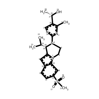 Cc1nc(N2CCn3c(cc4ccc(S(C)(=O)=O)cc43)[C@@H]2C(C)C)ncc1[C@H](C)O